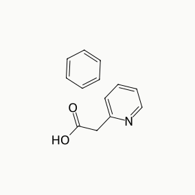 O=C(O)Cc1ccccn1.c1ccccc1